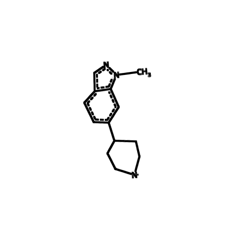 Cn1ncc2ccc(C3CC[N]CC3)cc21